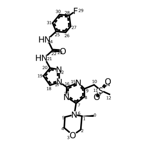 C[C@H]1COCCN1c1cc(CS(C)(=O)=O)nc(-n2ccc(NC(=O)Nc3ccc(F)cc3)n2)n1